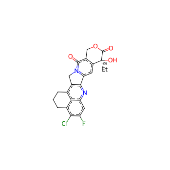 CC[C@@]1(O)C(=O)OCc2c1cc1n(c2=O)Cc2c-1nc1cc(F)c(Cl)c3c1c2CCC3